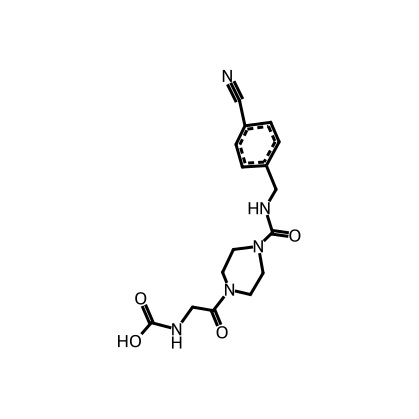 N#Cc1ccc(CNC(=O)N2CCN(C(=O)CNC(=O)O)CC2)cc1